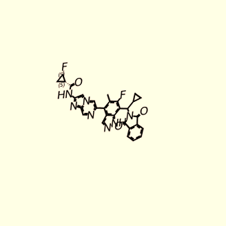 Cc1c(F)c(C(C2CC2)N2C(=O)c3ccccc3C2=O)c2[nH]ncc2c1-c1cn2cc(NC(=O)[C@@H]3C[C@@H]3F)nc2cn1